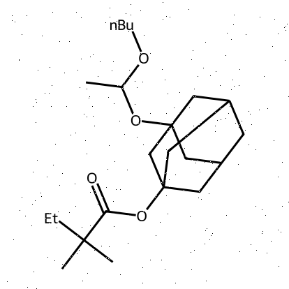 CCCCOC(C)OC12CC3CC(CC(OC(=O)C(C)(C)CC)(C3)C1)C2